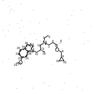 CCN(CC[C@H](C)OCC1CC1)C[C@@H](C)Cn1ncc2ccc(OC)cc21